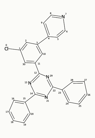 Clc1cc(-c2ccncc2)cc(-c2nc(-c3ccccc3)nc(-c3ccccc3)n2)c1